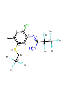 Cc1cc(Cl)c(/N=C(\N)C(F)(F)C(F)(F)F)cc1SCC(F)(F)F